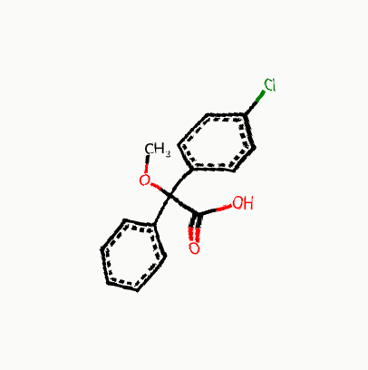 COC(C(=O)O)(c1ccccc1)c1ccc(Cl)cc1